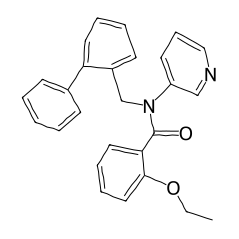 CCOc1ccccc1C(=O)N(Cc1ccccc1-c1ccccc1)c1cccnc1